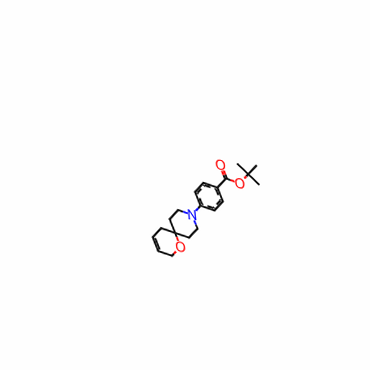 CC(C)(C)OC(=O)c1ccc(N2CCC3(CC=CCO3)CC2)cc1